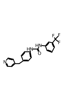 O=C(Nc1ccc(Cc2ccncc2)cc1)Nc1cccc(C(F)(F)F)c1